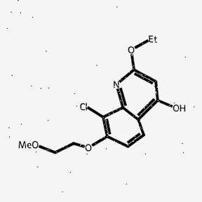 CCOc1cc(O)c2ccc(OCCOC)c(Cl)c2n1